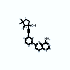 CC1(C)CCC(O)(C#Cc2cccc(-c3ccc4ncnc(N)c4n3)c2)C1=O